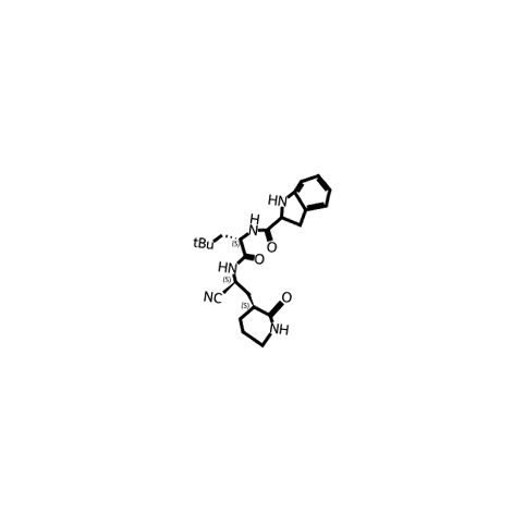 CC(C)(C)C[C@H](NC(=O)C1Cc2ccccc2N1)C(=O)N[C@H](C#N)C[C@@H]1CCCNC1=O